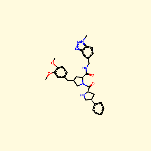 COc1ccc(CC2C[C@@H](C(=O)NCc3ccc4c(c3)nnn4C)N(C(=O)[C@H]3C[C@@H](c4ccccc4)CN3)C2)cc1OC